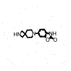 O=c1[nH]c2ccc(N3CCC4(CC3)CNC4)cc2o1